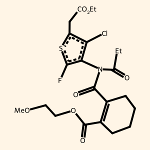 CCOC(=O)Cc1sc(F)c(N(C(=O)CC)C(=O)C2=C(C(=O)OCCOC)CCCC2)c1Cl